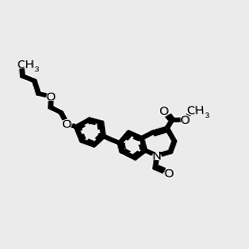 CCCCOCCOc1ccc(-c2ccc3c(c2)C=C(C(=O)OC)CCN3C=O)cc1